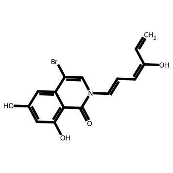 C=C/C(O)=C\C=C\n1cc(Br)c2cc(O)cc(O)c2c1=O